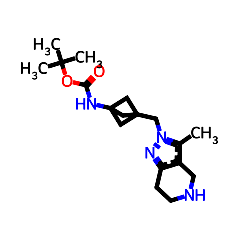 Cc1c2c(nn1CC13CC(NC(=O)OC(C)(C)C)(C1)C3)CCNC2